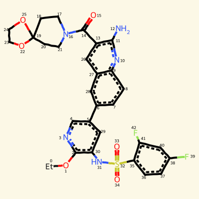 CCOc1ncc(-c2ccc3nc(N)c(C(=O)N4CCC5(CC4)OCCO5)cc3c2)cc1NS(=O)(=O)c1ccc(F)cc1F